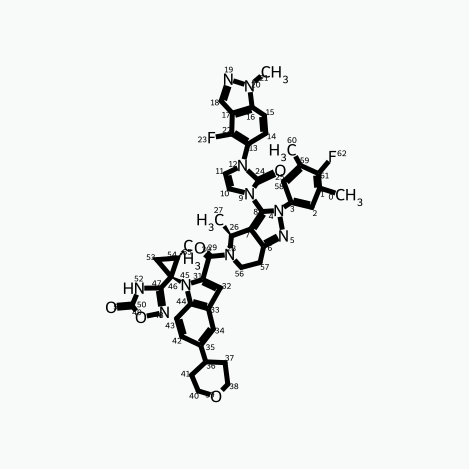 Cc1cc(-n2nc3c(c2-n2ccn(-c4ccc5c(cnn5C)c4F)c2=O)[C@H](C)N(C(=O)c2cc4cc(C5CCOCC5)ccc4n2[C@@]2(c4noc(=O)[nH]4)C[C@@H]2C)CC3)cc(C)c1F